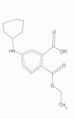 CCOC(=O)c1ccc(NC2CCCCC2)cc1C(=O)O